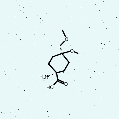 COC[C@]1(OC)CC[C@@](N)(C(=O)O)CC1